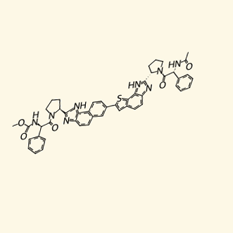 COC(=O)N[C@@H](C(=O)N1CCC[C@H]1c1nc2ccc3cc(-c4cc5ccc6nc([C@@H]7CCCN7C(=O)[C@H](NC(C)=O)c7ccccc7)[nH]c6c5s4)ccc3c2[nH]1)c1ccccc1